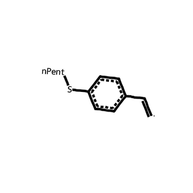 [CH]=Cc1ccc(SCCCCC)cc1